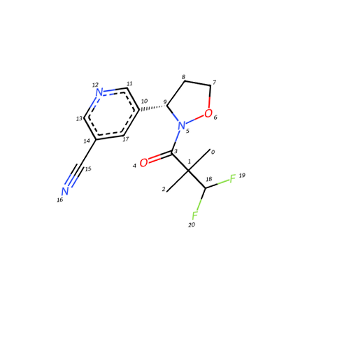 CC(C)(C(=O)N1OCC[C@H]1c1cncc(C#N)c1)C(F)F